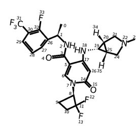 C[C@@H](NC(=O)c1cn([C@@H]2CCC2(F)F)c(=O)cc1N[C@@H]1[C@@H]2CN(C)C[C@@H]21)c1cccc(C(F)(F)F)c1F